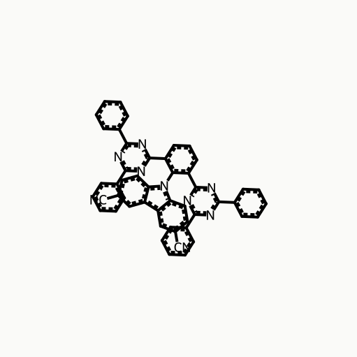 N#Cc1ccc2c(c1)c1cc(C#N)ccc1n2-c1c(-c2nc(-c3ccccc3)nc(-c3ccccc3)n2)cccc1-c1nc(-c2ccccc2)nc(-c2ccccc2)n1